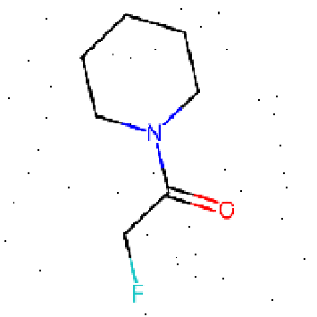 O=C(CF)N1CCCCC1